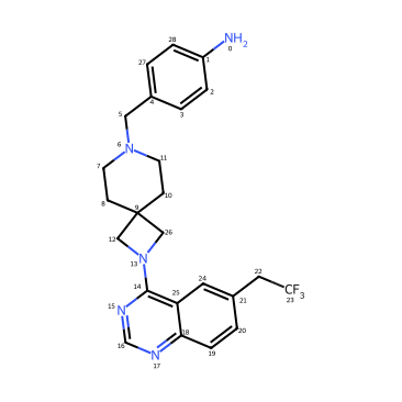 Nc1ccc(CN2CCC3(CC2)CN(c2ncnc4ccc(CC(F)(F)F)cc24)C3)cc1